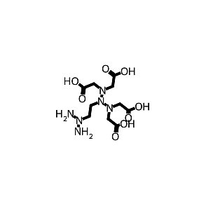 NN(N)CCN(N(CC(=O)O)CC(=O)O)N(CC(=O)O)CC(=O)O